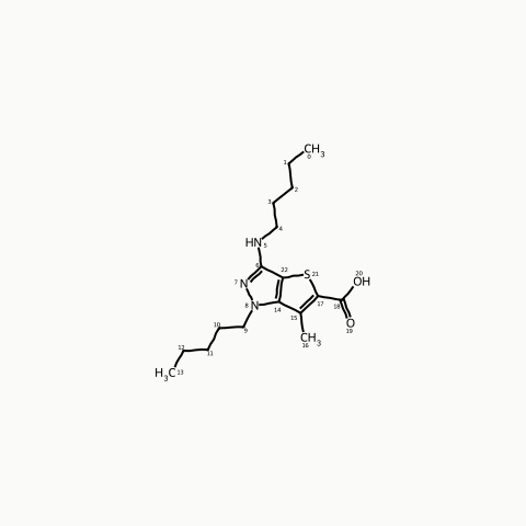 CCCCCNc1nn(CCCCC)c2c(C)c(C(=O)O)sc12